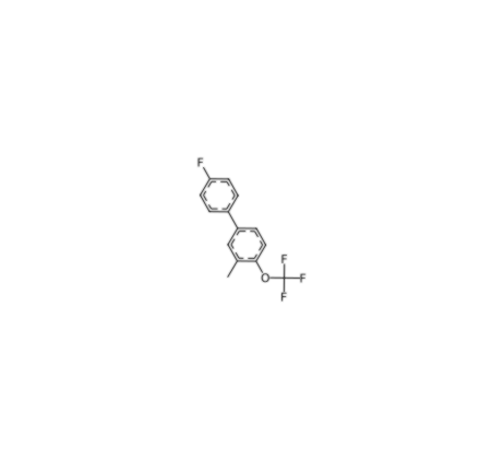 Cc1cc(-c2ccc(F)cc2)ccc1OC(F)(F)F